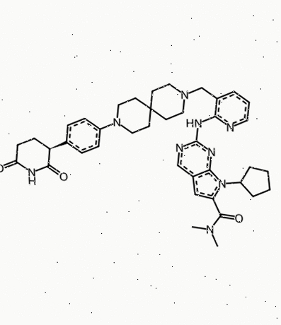 CN(C)C(=O)c1cc2cnc(Nc3ncccc3CN3CCC4(CC3)CCN(c3ccc([C@@H]5CCC(=O)NC5=O)cc3)CC4)nc2n1C1CCCC1